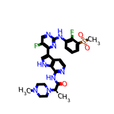 C[C@H](C(=O)Nc1nccc2c(-c3nc(Nc4cccc(S(C)(=O)=O)c4F)ncc3F)c[nH]c12)N1CCN(C)CC1